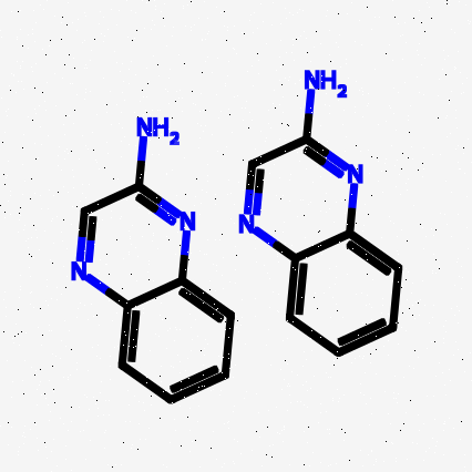 Nc1cnc2ccccc2n1.Nc1cnc2ccccc2n1